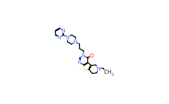 CCN1CCc2sc3ncn(CCCN4CCN(c5ncccn5)CC4)c(=O)c3c2C1